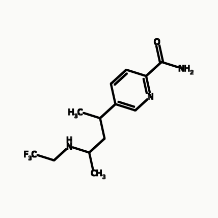 CC(CC(C)c1ccc(C(N)=O)nc1)NCC(F)(F)F